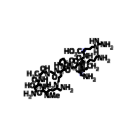 C=CN/C(=C\N)C[C@H](NC(=O)[C@@H]1CCCN1C(=O)[C@@H](CCCN)NC(=O)CNC(=O)C(C)NC(=O)[C@@H](NC(=O)C(CCCCN)NC)[C@@H](O)CN)C(=O)N[C@@H](CCCCN)C(=O)N/C(=C\CCNC(=N)N)C(=O)O